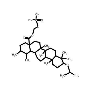 CC(C)OC1CCC2(C)C(CCC3(C)C2CCC2C4C(C)C(C)CCC4(C(=O)OCOP(=O)(O)O)CCC23C)C1(C)C